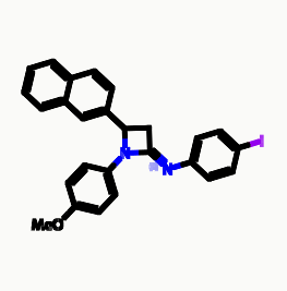 COc1ccc(N2/C(=N/c3ccc(I)cc3)CC2c2ccc3ccccc3c2)cc1